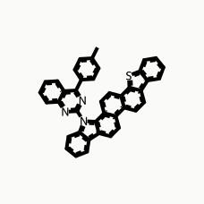 Cc1ccc(-c2nc(-n3c4ccccc4c4ccc5c6ccc7c8ccccc8sc7c6ccc5c43)nc3ccccc23)cc1